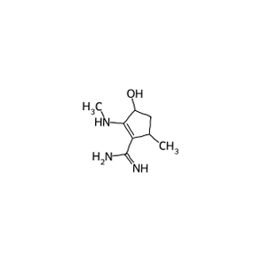 CNC1=C(C(=N)N)C(C)CC1O